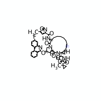 Cc1cc(C(=O)N[C@H]2CCCCC/C=C\[C@@H]3C[C@@]3(C(=O)NS(=O)(=O)C3(C)CC3)NC(=O)[C@@H]3C[C@@H](Oc4nc5cc(F)ccc5c5ccccc45)CN3C2=O)no1